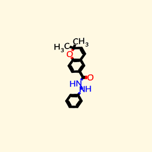 CC1(C)C=Cc2cc(C(=O)NNc3ccccc3)ccc2O1